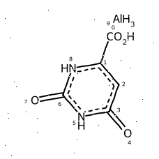 O=C(O)c1cc(=O)[nH]c(=O)[nH]1.[AlH3]